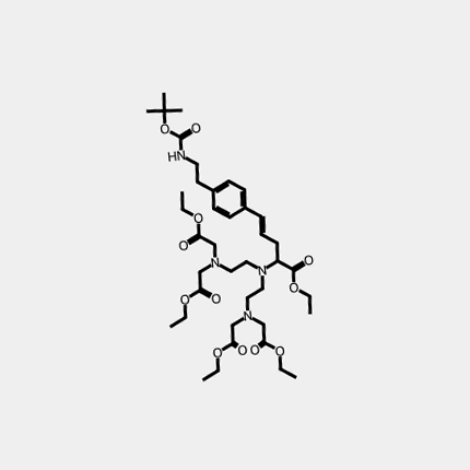 CCOC(=O)CN(CCN(CCN(CC(=O)OCC)CC(=O)OCC)C(C/C=C/c1ccc(CCNC(=O)OC(C)(C)C)cc1)C(=O)OCC)CC(=O)OCC